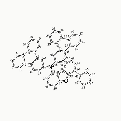 c1ccc(-c2ccccc2-c2ccc(N(c3ccc(-c4ccccc4-c4ccccc4)cc3)c3cccc4oc5c(-c6ccccc6)cccc5c34)cc2)cc1